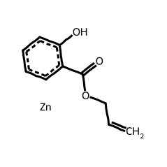 C=CCOC(=O)c1ccccc1O.[Zn]